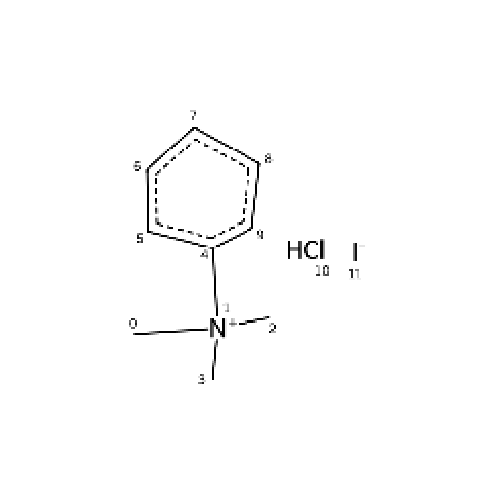 C[N+](C)(C)c1ccccc1.Cl.[I-]